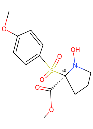 COC(=O)[C@@]1(S(=O)(=O)c2ccc(OC)cc2)CCCN1O